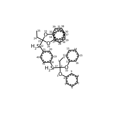 CCC(Oc1ccccc1)(Oc1ccccc1)[SiH2]c1ccc([SiH2]C(CC)(Oc2ccccc2)Oc2ccccc2)cc1